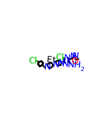 CC[C@H]1CN(c2nc(N)c(-c3nnc(C)o3)nc2Cl)CCN1C1CCN(Cc2ccc(Cl)cc2)CC1